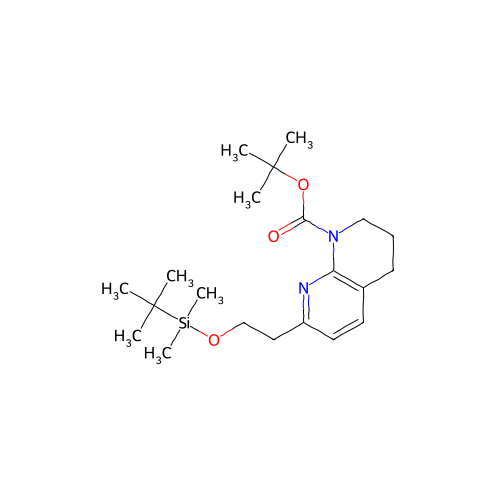 CC(C)(C)OC(=O)N1CCCc2ccc(CCO[Si](C)(C)C(C)(C)C)nc21